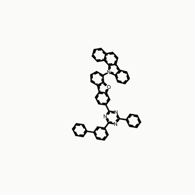 c1ccc(-c2cccc(-c3nc(-c4ccccc4)nc(-c4ccc5c(c4)oc4c(-n6c7ccccc7c7ccc8ccccc8c76)cccc45)n3)c2)cc1